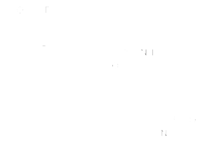 CC(=O)C(F)(F)c1ccc(CC(=O)Nc2ccc(C(=O)N(C)c3cc(C)cc(C)c3)cc2)cc1